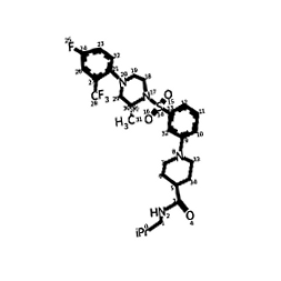 CC(C)CNC(=O)C1CCN(c2cccc(S(=O)(=O)N3CCN(c4ccc(F)cc4C(F)(F)F)C[C@H]3C)c2)CC1